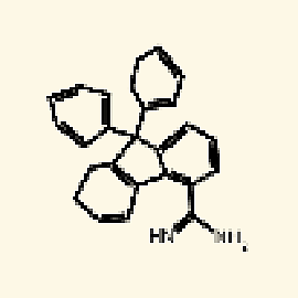 N=C(N)c1cccc2c1C1=C(CCC=C1)C2(C1=CC=CCC1)c1ccccc1